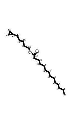 CCCCCCCCCCCCCC(=O)OCCCCCC1CC1